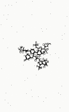 CNCC(=O)N(c1nn(CC(F)(F)F)c2c(-c3ccc(C#CC(C)(C)S(C)(=O)=O)nc3C(Cc3cc(F)cc(F)c3)NC(=O)Cn3nc(C(F)(F)F)c4c3C(F)(F)[C@@H]3C[C@H]43)ccc(Cl)c12)S(C)(=O)=O